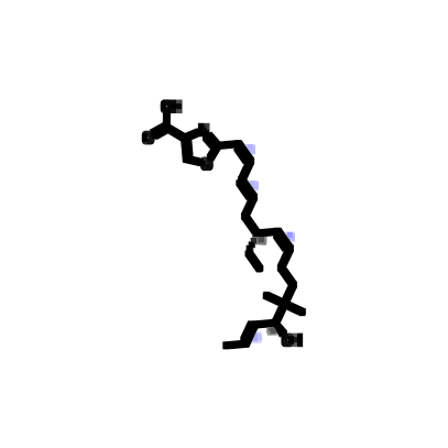 C/C=C/[C@H](O)C(C)(C)CC/C=C\[C@H](CC)C/C=C/C=C\c1nc(C(=O)O)co1